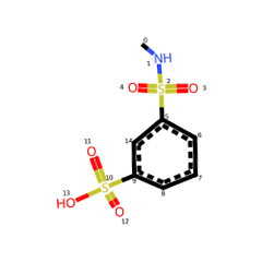 CNS(=O)(=O)c1cccc(S(=O)(=O)O)c1